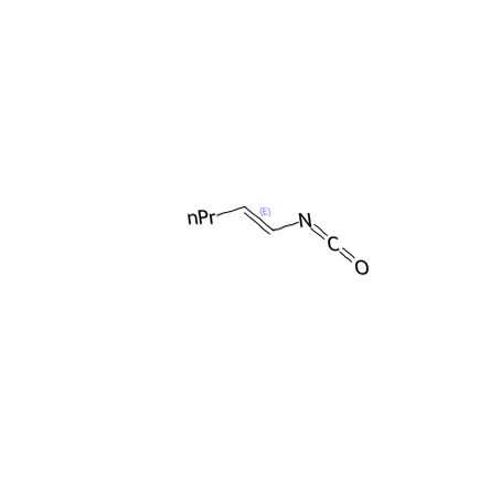 CCC/C=C/N=C=O